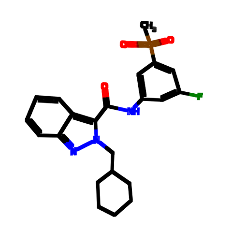 CS(=O)(=O)c1cc(F)cc(NC(=O)c2c3ccccc3nn2CC2CCCCC2)c1